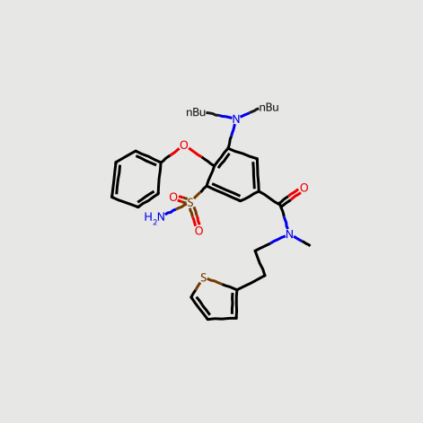 CCCCN(CCCC)c1cc(C(=O)N(C)CCc2cccs2)cc(S(N)(=O)=O)c1Oc1ccccc1